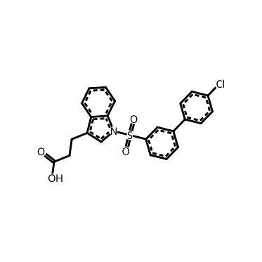 O=C(O)CCc1cn(S(=O)(=O)c2cccc(-c3ccc(Cl)cc3)c2)c2ccccc12